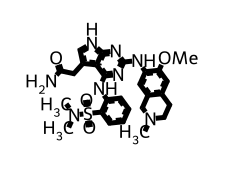 COc1cc2c(cc1Nc1nc(Nc3ccccc3S(=O)(=O)N(C)C)c3c(CC(N)=O)c[nH]c3n1)CN(C)CC2